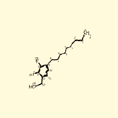 CCCCCCCCCc1ccc(CO)c(F)c1F